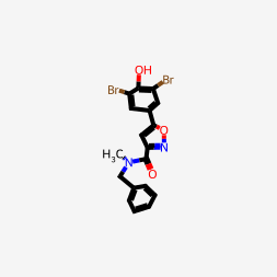 CN(Cc1ccccc1)C(=O)c1cc(-c2cc(Br)c(O)c(Br)c2)on1